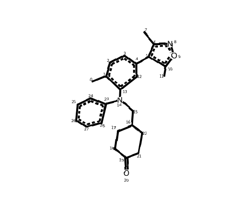 Cc1ccc(-c2c(C)noc2C)cc1N(CC1CCC(=O)CC1)c1cc[c]cc1